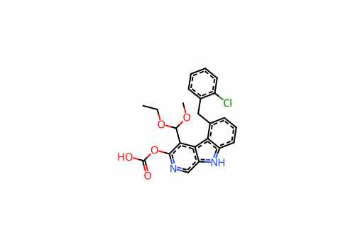 CCOC(OC)c1c(OC(=O)O)ncc2[nH]c3cccc(Cc4ccccc4Cl)c3c12